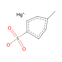 Cc1ccc(S(=O)(=O)[O-])cc1.[Hg+]